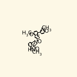 CNC(=O)CCN(Cc1cccc(F)n1)C(=O)c1cc2c(OC)ccc(-c3ccc(=O)n(C)c3)c2s1